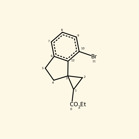 CCOC(=O)C1CC12CCc1cccc(Br)c12